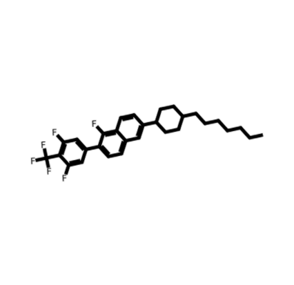 CCCCCCCC1CCC(c2ccc3c(F)c(-c4cc(F)c(C(F)(F)F)c(F)c4)ccc3c2)CC1